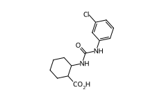 O=C(Nc1cccc(Cl)c1)NC1CCCCC1C(=O)O